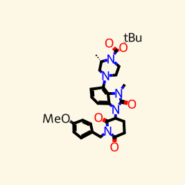 COc1ccc(CN2C(=O)CCC(n3c(=O)n(C)c4c(N5CCN(C(=O)OC(C)(C)C)[C@@H](C)C5)cccc43)C2=O)cc1